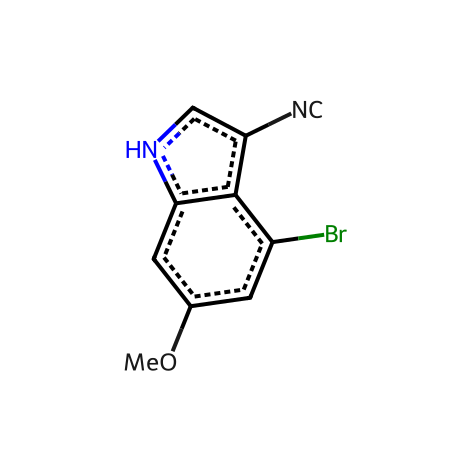 [C-]#[N+]c1c[nH]c2cc(OC)cc(Br)c12